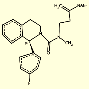 C=C(CCN(C)C(=O)N1CCc2ccccc2[C@@H]1c1ccc(F)cc1)NC